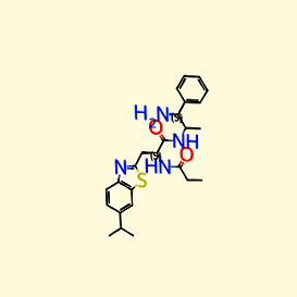 CCC(=O)N[C@@H](Cc1nc2ccc(C(C)C)cc2s1)C(=O)NC(C)[C@@H](N)c1ccccc1